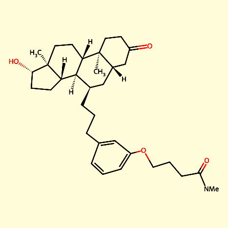 CNC(=O)CCCOc1cccc(CCC[C@@H]2C[C@H]3CC(=O)CC[C@]3(C)[C@H]3CC[C@]4(C)[C@@H](O)CC[C@H]4[C@H]23)c1